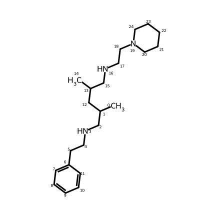 CC(CNCCc1ccccc1)CC(C)CNCCN1CCCCC1